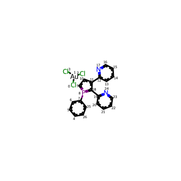 [Cl][Au]([Cl])[Cl].c1ccc(-p2ccc(-c3ccccn3)c2-c2ccccn2)cc1